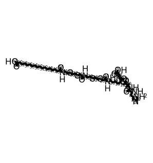 CC(C)(NC(=O)[C@@H](N)Cc1cnc[nH]1)C(=O)C[C@@H](CCCCNC(=O)COCCOCCNC(=O)COCCOCCNC(=O)CCCCCCCCCCCCCCCCC(=O)O)C(=O)NCC(=O)O